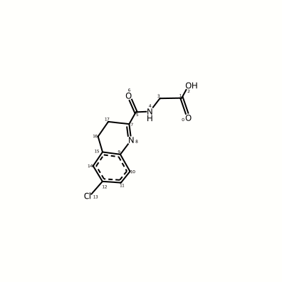 O=C(O)CNC(=O)C1=Nc2ccc(Cl)cc2CC1